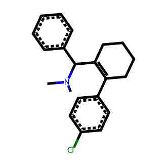 CN(C)C(C1=C(c2ccc(Cl)cc2)CCCC1)c1ccccc1